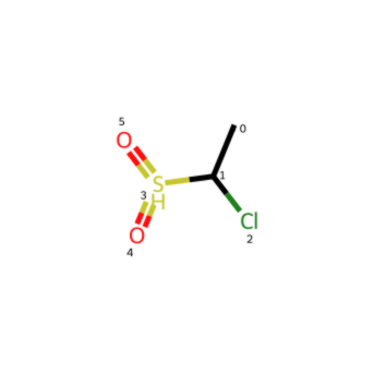 [CH2]C(Cl)[SH](=O)=O